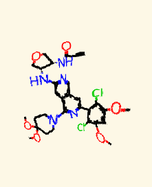 C=CC(=O)N[C@H]1COC[C@H]1Nc1cc2c(N3CCC(OC)(OC)CC3)nc(-c3c(Cl)c(OC)cc(OC)c3Cl)cc2cn1